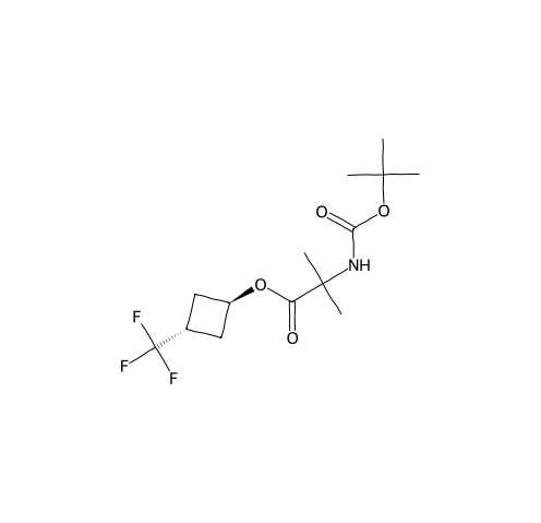 CC(C)(C)OC(=O)NC(C)(C)C(=O)O[C@H]1C[C@H](C(F)(F)F)C1